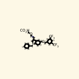 O=C(O)CO/N=C/c1cn(Cc2ccccc2)c2ccc(OCc3cc(C(F)(F)F)cc(C(F)(F)F)c3)cc12